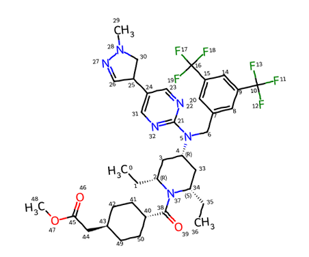 CC[C@@H]1C[C@H](N(Cc2cc(C(F)(F)F)cc(C(F)(F)F)c2)c2ncc(C3C=NN(C)C3)cn2)C[C@H](CC)N1C(=O)[C@H]1CC[C@H](CC(=O)OC)CC1